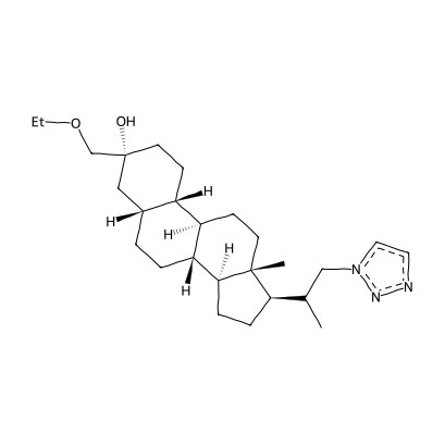 CCOC[C@@]1(O)CC[C@H]2[C@H](CC[C@@H]3[C@@H]2CC[C@]2(C)[C@@H](C(C)Cn4ccnn4)CC[C@@H]32)C1